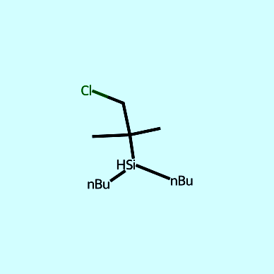 CCCC[SiH](CCCC)C(C)(C)CCl